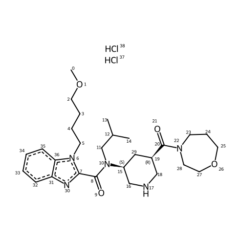 COCCCCn1c(C(=O)N(CC(C)C)[C@@H]2CNC[C@H](C(=O)N3CCCOCC3)C2)nc2ccccc21.Cl.Cl